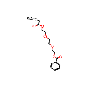 CCCCCCCCCCCC(=O)OCCOCCOCCOC(=O)c1ccccc1